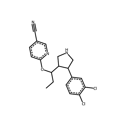 CCC(Oc1ccc(C#N)cn1)C1CNCC1c1ccc(Cl)c(Cl)c1